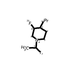 CC(C)C1CCN(C(C)I)CC1F